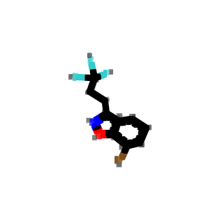 FC(F)(F)CCc1noc2c(Br)cccc12